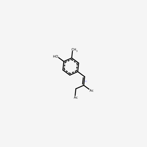 CC(=O)C/C(=C\c1ccc(O)c(C)c1)C(C)=O